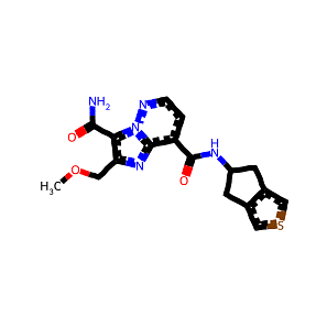 COCc1nc2c(C(=O)NC3Cc4cscc4C3)ccnn2c1C(N)=O